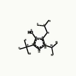 CC(C)Cc1c(O)c(C(C)(C)C)nn1C(C)C